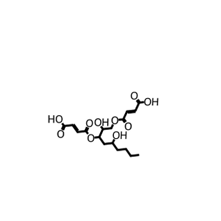 CCCCC(O)CC(OC(=O)/C=C/C(=O)O)C(O)COC(=O)/C=C/C(=O)O